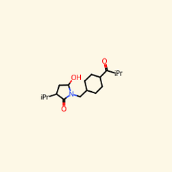 CC(C)C(=O)C1CCC(CN2C(=O)C(C(C)C)CC2O)CC1